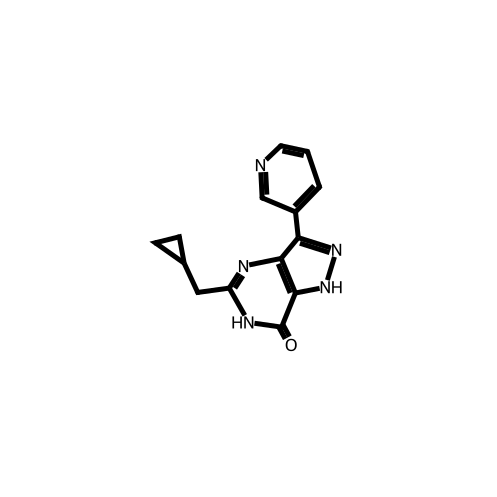 O=c1[nH]c(CC2CC2)nc2c(-c3cccnc3)n[nH]c12